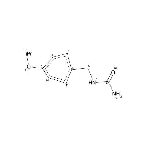 CC(C)Oc1ccc(CNC(N)=O)cc1